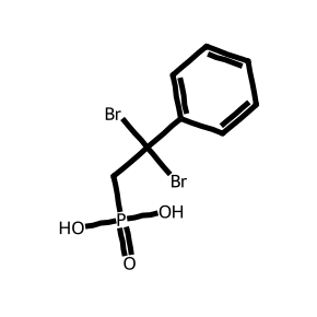 O=P(O)(O)CC(Br)(Br)c1ccccc1